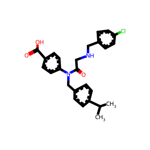 CC(C)c1ccc(CN(C(=O)CNCc2ccc(Cl)cc2)c2ccc(C(=O)O)cc2)cc1